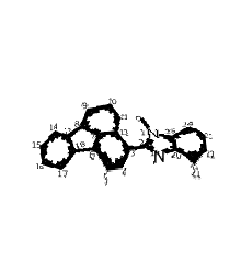 Cn1c(-c2ccc3c4c(cccc24)-c2ccccc2-3)nc2ccccc21